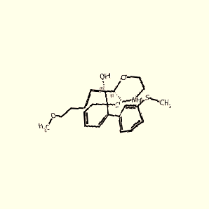 COCCCC[C@@](O)([C@H]1CNCCO1)C1(Cl)CC=CC=C1c1cccc(SC)c1